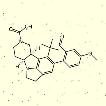 COc1ccc(-c2cc3c4c(c2C(C)(C)C)[C@@H]2CN(C(=O)O)CC[C@@H]2N4CC3)c(C=O)c1